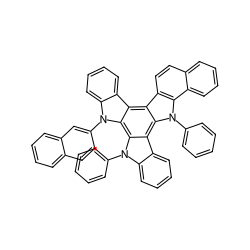 c1ccc(-n2c3ccccc3c3c2c2c(c4ccccc4n2-c2ccc4ccccc4c2)c2c4ccc5ccccc5c4n(-c4ccccc4)c23)cc1